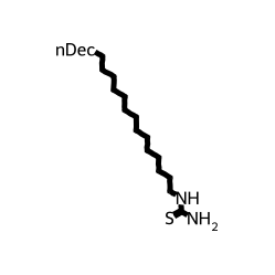 CCCCCCCCCCCCCCCCCCCCCCCCNC(N)=S